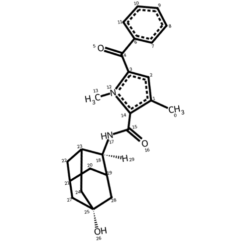 Cc1cc(C(=O)c2ccccc2)n(C)c1C(=O)N[C@H]1C2CC3CC1C[C@](O)(C3)C2